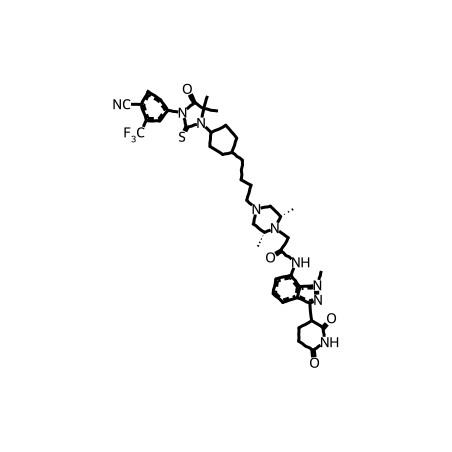 C[C@@H]1CN(CCCCC2CCC(N3C(=S)N(c4ccc(C#N)c(C(F)(F)F)c4)C(=O)C3(C)C)CC2)C[C@H](C)N1CC(=O)Nc1cccc2c(C3CCC(=O)NC3=O)nn(C)c12